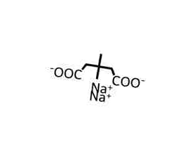 CC(C)(CC(=O)[O-])CC(=O)[O-].[Na+].[Na+]